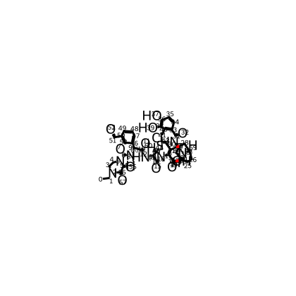 CCN1CCN(C(=O)N[C@@H](C(=O)N[C@@H]2C(=O)N3C(C(=O)O)=C(CN4[C@@H]5CC[C@H]4C[C@@H](NC(=O)c4ccc(O)c(O)c4Cl)C5)CS[C@H]23)c2cccc(C=O)c2)C(=O)C1=O